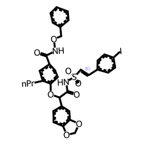 CCCc1cc(C(=O)NOCc2ccccc2)ccc1OC(C(=O)NS(=O)(=O)/C=C/c1ccc(I)cc1)c1ccc2c(c1)OCO2